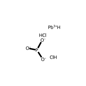 Cl.Cl.[O-]P([O-])[O-].[PbH+3]